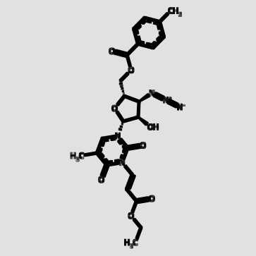 CCOC(=O)/C=C/n1c(=O)c(C)cn([C@@H]2O[C@H](COC(=O)c3ccc(C)cc3)[C@@H](N=[N+]=[N-])[C@H]2O)c1=O